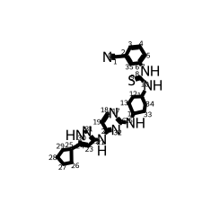 N#Cc1cccc(NC(=S)NC2CCC(Nc3nccc(Nc4cc(C5CCCC5)[nH]n4)n3)CC2)c1